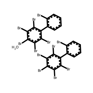 Brc1ccccc1-c1c(Br)c(Br)c(Br)c(Br)c1Br.Brc1ccccc1-c1c(Br)c(Br)c(Br)c(Br)c1Br.O